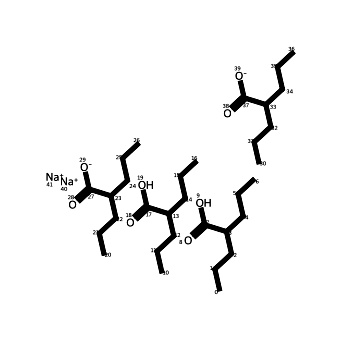 CCCC(CCC)C(=O)O.CCCC(CCC)C(=O)O.CCCC(CCC)C(=O)[O-].CCCC(CCC)C(=O)[O-].[Na+].[Na+]